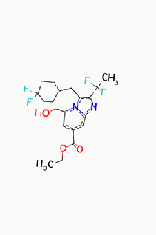 CCOC(=O)c1cc(CO)n2c(CC3CCC(F)(F)CC3)c(C(C)(F)F)nc2c1